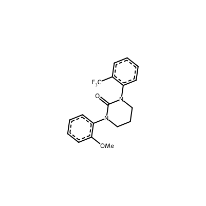 COc1ccccc1N1CCCN(c2ccccc2C(F)(F)F)C1=O